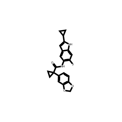 O=C(Nc1cc2cc(C3CC3)[nH]c2cc1F)C1(c2ccc3c(c2)OCO3)CC1